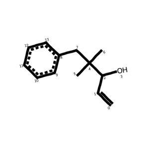 C=CC(O)C(C)(C)Cc1ccccc1